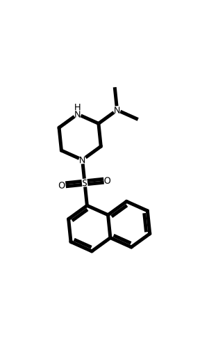 CN(C)C1CN(S(=O)(=O)c2cccc3ccccc23)CCN1